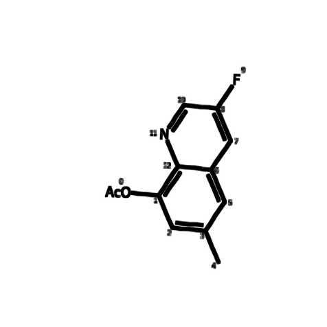 CC(=O)Oc1cc(C)cc2cc(F)cnc12